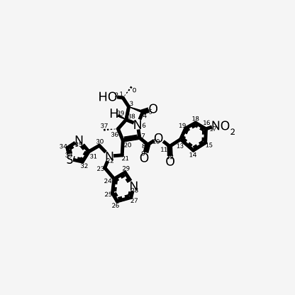 C[C@@H](O)[C@H]1C(=O)N2C(C(=O)OC(=O)c3ccc([N+](=O)[O-])cc3)=C(CN(Cc3cccnc3)Cc3cscn3)[C@H](C)[C@H]12